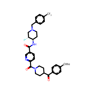 COc1ccc(C(=O)C2CCN(C(=O)c3ccc(C(=O)N[C@@H]4CCN(Cc5ccc(C(F)(F)F)cc5)C[C@H]4F)cn3)CC2)cc1